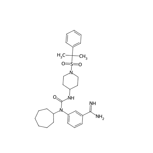 CC(C)(c1ccccc1)S(=O)(=O)N1CCC(NC(=O)N(c2cccc(C(=N)N)c2)C2CCCCCC2)CC1